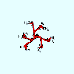 CCCCCC(CC)OC(=O)CCCCCCCCN(CCCCCCCCC(=O)OC(CC)CCCCC)CCCNC(=O)c1cc(C(=O)NCCCN(CCCCCCCCC(=O)OC(CC)CCCCC)CCCCCCCCC(=O)OC(CC)CCCCC)cc(C(=O)NCCCN(CCCCCCCCC(=O)OC(CC)CCCCC)CCCCCCCCC(=O)OC(CC)CCCCC)c1